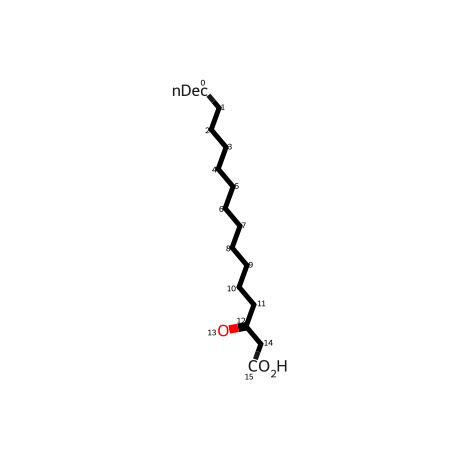 CCCCCCCCCCCCCCCCCCCCCC(=O)CC(=O)O